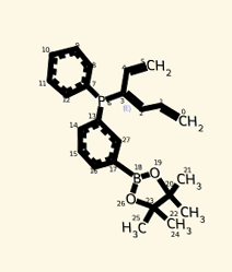 C=C/C=C(\C=C)P(c1ccccc1)c1cccc(B2OC(C)(C)C(C)(C)O2)c1